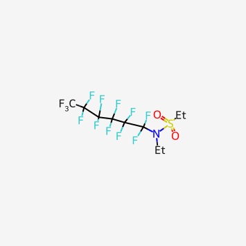 [CH2]CS(=O)(=O)N(CC)C(F)(F)C(F)(F)C(F)(F)C(F)(F)C(F)(F)C(F)(F)F